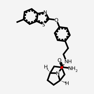 Cc1ccc2nc(Oc3ccc(CCN[C@@H]4C[C@H]5CC[C@@H](C4)N5C(N)=O)cc3)sc2c1